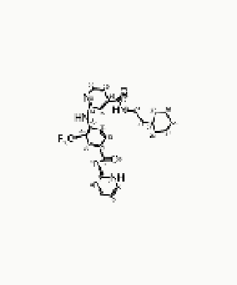 O=C(N=c1nccc[nH]1)c1ccc(Nc2cc(C(=O)NCCC3CCCCC3)ccn2)c(C(F)(F)F)c1